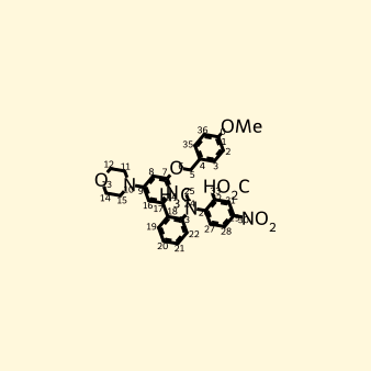 COc1ccc(COc2cc(N3CCOCC3)cc(-c3ccccc3N(C)c3ccc([N+](=O)[O-])cc3C(=O)O)n2)cc1